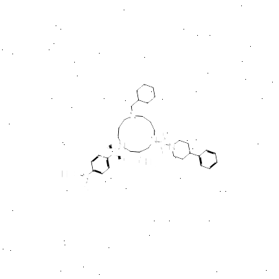 C[C@@H]1CN(S(=O)(=O)c2ccc(N(C)C)cc2)CCCN(CC2CCCCC2)CCCN(S(=O)(=O)N2CCC(c3ccccc3)CC2)C1